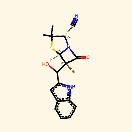 CC1(C)S[C@H]2N(C(=O)[C@]2(Br)C(O)c2cc3ccccc3[nH]2)[C@H]1C#N